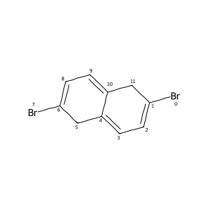 BrC1=CC=C2CC(Br)=CC=C2C1